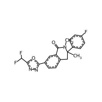 CN1C(=O)c2cc(-c3nnc(C(F)F)o3)ccc2CC1(C)c1ccc(F)cc1